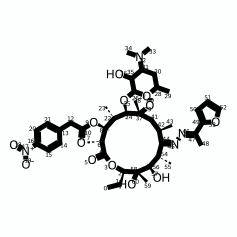 CC[C@H]1OC(=O)[C@H](C)[C@@H](OC(=O)Cc2ccc([N+](=O)[O-])cc2)[C@H](C)[C@@H](OC2OC(C)CC(N(C)C)C2O)[C@](C)(OC)C[C@@H](C)/C(=N\N=C(/C)c2ccco2)[C@H](C)[C@@H](O)[C@]1(C)O